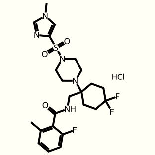 Cc1cccc(F)c1C(=O)NCC1(N2CCN(S(=O)(=O)c3cn(C)cn3)CC2)CCC(F)(F)CC1.Cl